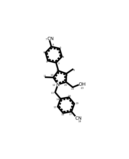 Cc1c(-c2ccc(C#N)cc2)c(C)n(Cc2ccc(C#N)cc2)c1CO